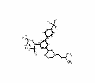 CC(C)CCN1CCCC(c2cc(-c3ccc(C(F)(F)F)cc3)cc(C(CC(C)C)C(=O)O)c2)C1